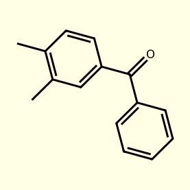 Cc1ccc(C(=O)c2ccccc2)cc1C